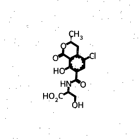 C[C@@H]1Cc2c(Cl)cc(C(=O)NC(CO)C(=O)O)c(O)c2C(=O)O1